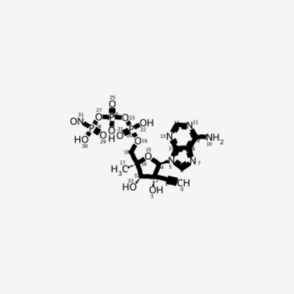 C#C[C@]1(O)[C@H](n2cnc3c(N)ncnc32)O[C@](C)(COP(=O)(O)OP(=O)(O)OP(=O)(O)N=O)[C@H]1O